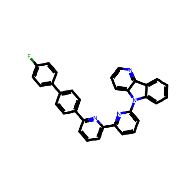 Fc1ccc(-c2ccc(-c3cccc(-c4cccc(-n5c6ccccc6c6ncccc65)n4)n3)cc2)cc1